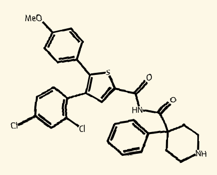 COc1ccc(-c2sc(C(=O)NC(=O)C3(c4ccccc4)CCNCC3)cc2-c2ccc(Cl)cc2Cl)cc1